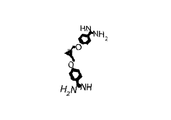 N=C(N)c1ccc(OCC2C[C@H]2COc2ccc(C(=N)N)cc2)cc1